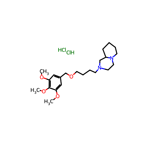 COc1cc(COCCCCN2CCN3CCCCC3C2)cc(OC)c1OC.Cl.Cl